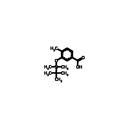 Cc1ccc(C(=O)O)cc1O[Si](C)(C)C(C)(C)C